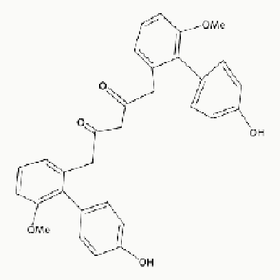 COc1cccc(CC(=O)CC(=O)Cc2cccc(OC)c2-c2ccc(O)cc2)c1-c1ccc(O)cc1